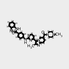 Cc1nc2ccc(C(=O)N3CCN(C)CC3)cn2c1-c1ccnc(Nc2ccc(C(=O)Nc3ccccc3N)cc2)n1